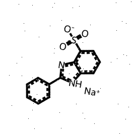 O=S(=O)([O-])c1cccc2[nH]c(-c3ccccc3)nc12.[Na+]